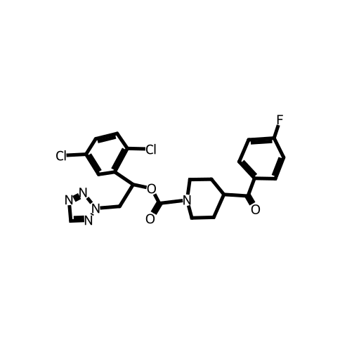 O=C(c1ccc(F)cc1)C1CCN(C(=O)OC(Cn2ncnn2)c2cc(Cl)ccc2Cl)CC1